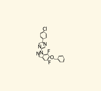 Fc1cc2cnn(-c3cnc(-c4ccc(Cl)cc4)cn3)c2c(F)c1OCc1ccccc1